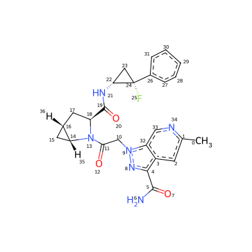 Cc1cc2c(C(N)=O)nn(CC(=O)N3[C@@H]4C[C@@H]4C[C@H]3C(=O)N[C@@H]3C[C@@]3(F)c3ccccc3)c2cn1